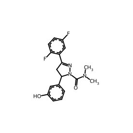 CN(C)C(=O)N1N=C(c2cc(F)ccc2F)CC1c1cccc(O)c1